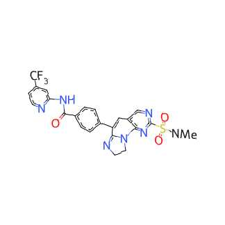 CNS(=O)(=O)c1ncc2c(n1)N1CCN=C1C(c1ccc(C(=O)Nc3cc(C(F)(F)F)ccn3)cc1)=C2